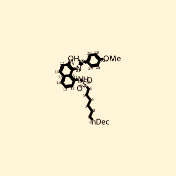 CCCCCCCCCCCCCCCCS(=O)(=O)Nc1cccc2ccc(O)c(/N=N/c3ccc(OC)cc3)c12